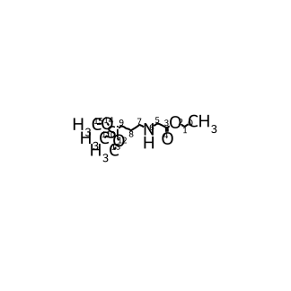 CCOC(=O)CNCCC[Si](C)(OC)OC